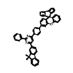 CC1(C)c2ccccc2-c2ccc(-c3cc(-c4ccc(-c5ccc6c(c5)Oc5ccccc5C65c6ccccc6-c6ccccc65)cc4)nc(-c4ccccc4)n3)cc21